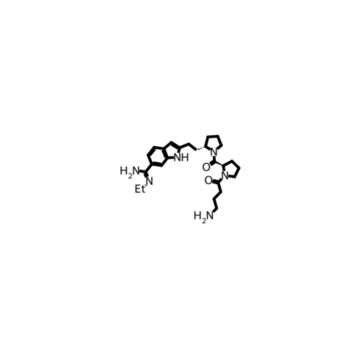 CCN=C(N)c1ccc2cc(CC[C@@H]3CCCN3C(=O)[C@H]3CCCN3C(=O)CCCN)[nH]c2c1